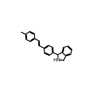 Cc1ccc(C=Cc2ccc(C3NCc4ccccc43)cc2)cc1